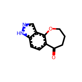 O=C1CCCOc2c1ccc1[nH]ncc21